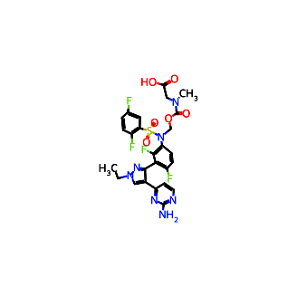 CCn1cc(-c2ccnc(N)n2)c(-c2c(F)ccc(N(COC(=O)N(C)CC(=O)O)S(=O)(=O)c3cc(F)ccc3F)c2F)n1